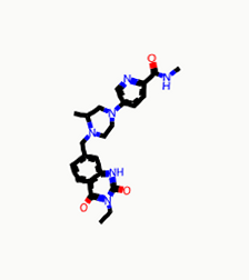 CCn1c(=O)[nH]c2cc(CN3CCN(c4ccc(C(=O)NC)nc4)CC3C)ccc2c1=O